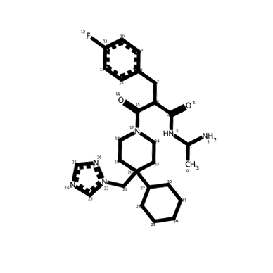 CC(N)NC(=O)C(Cc1ccc(F)cc1)C(=O)N1CCC(Cn2cncn2)(C2CCCCC2)CC1